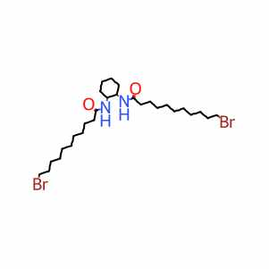 O=C(CCCCCCCCCCBr)N[C@H]1CCCC[C@@H]1NC(=O)CCCCCCCCCCBr